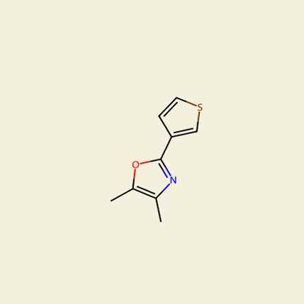 Cc1nc(-c2ccsc2)oc1C